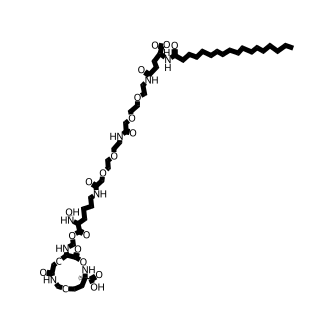 CCCCCCCCCCCCCCCCCC(=O)NC(CCC(=O)NCCOCCOCC(=O)NCCOCCOCC(=O)NCCCCC(NO)C(=O)OCNC1CCC(=O)NCCCC[C@@H](C(=O)O)NOC1=O)C(=O)O